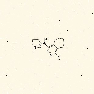 CN1CCC[C@@H](Nc2nnc(Cl)c3c2CCCCC3)C1